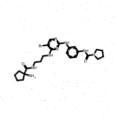 NC1(C(=O)NCCCNc2nc(Nc3cccc(NC(=O)N4CCCC4)c3)ncc2Br)CCCC1